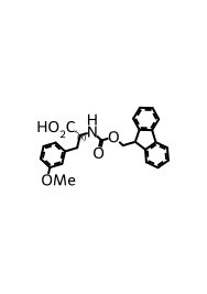 COc1cccc(C[C@@H](NC(=O)OCC2c3ccccc3-c3ccccc32)C(=O)O)c1